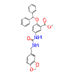 COC(=O)c1cc(NC(=O)NCc2ccc3c(c2)OCO3)ccc1OC(c1ccccc1)c1ccccc1